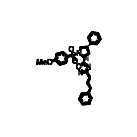 COc1ccc(S(=O)(=O)N2C[C@H](c3ccccc3)C[C@H]2c2nc(CCCc3ccccc3)no2)cc1